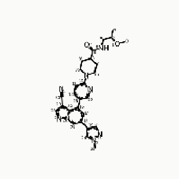 COC(C)CNC(=O)C1CCN(c2ccc(-c3cc(-c4cnn(C)c4)cn4ncc(C#N)c34)cn2)CC1